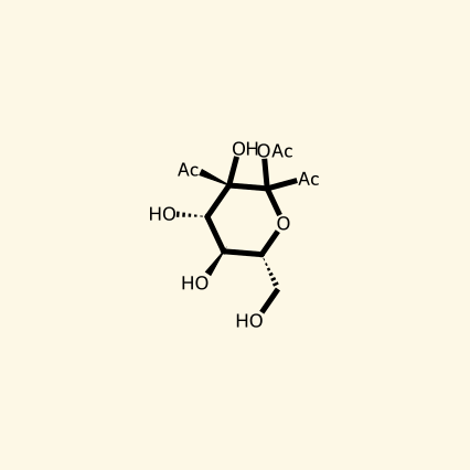 CC(=O)OC1(C(C)=O)O[C@H](CO)[C@@H](O)[C@H](O)[C@@]1(O)C(C)=O